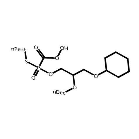 CCCCCCCCCCOC(COC1CCCCC1)COP(=O)(SCCCCC)C(=O)OO